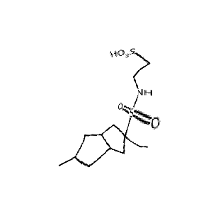 CC1CC2CC(C)(S(=O)(=O)NCCS(=O)(=O)O)CC2C1